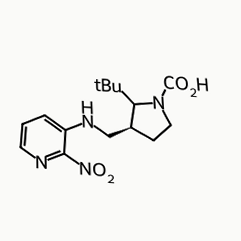 CC(C)(C)C1[C@H](CNc2cccnc2[N+](=O)[O-])CCN1C(=O)O